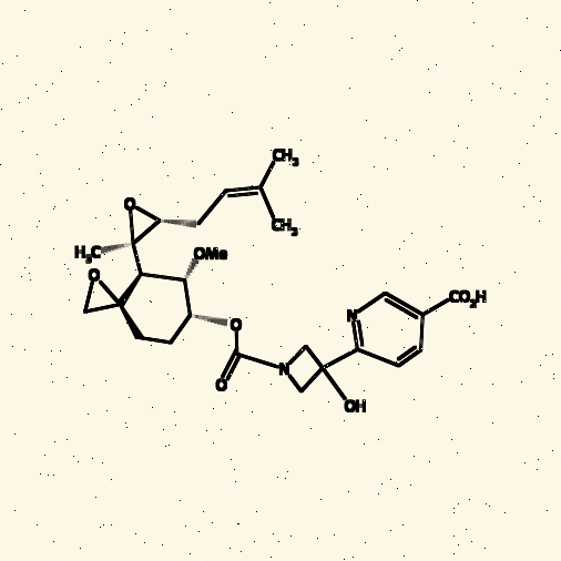 CO[C@@H]1[C@H](OC(=O)N2CC(O)(c3ccc(C(=O)O)cn3)C2)CC[C@]2(CO2)[C@H]1[C@@]1(C)O[C@@H]1CC=C(C)C